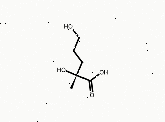 C[C@@](O)(CCCO)C(=O)O